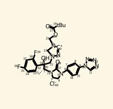 C[C@@H](N1CCN(c2ccc(-n3cnnn3)cc2)C1=O)[C@@](O)(CN1CN(COC(=O)C(C)(C)C)[C+]=N1)c1ccc(F)cc1F.[Cl-]